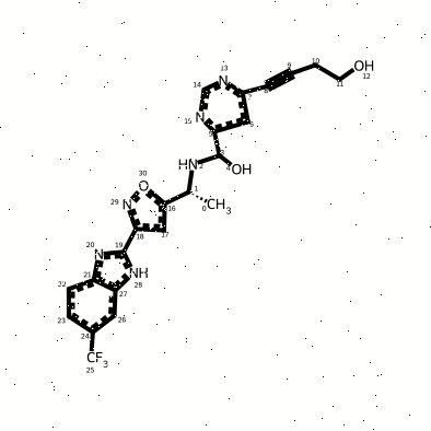 C[C@@H](NC(O)c1cc(C#CCCO)ncn1)c1cc(-c2nc3ccc(C(F)(F)F)cc3[nH]2)no1